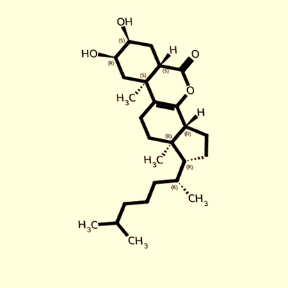 CC(C)CCC[C@@H](C)[C@H]1CC[C@H]2C3=C(CC[C@]12C)[C@@]1(C)C[C@@H](O)[C@@H](O)C[C@@H]1C(=O)O3